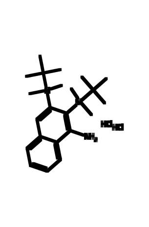 CC(C)(C)[Si](C)(C)c1cc2ccccc2c(N)c1[Si](C)(C)C(C)(C)C.Cl.Cl